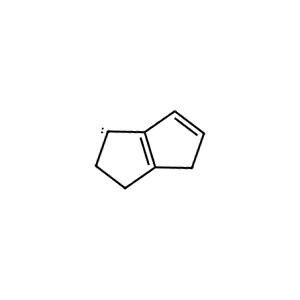 [C]1CCC2=C1C=CC2